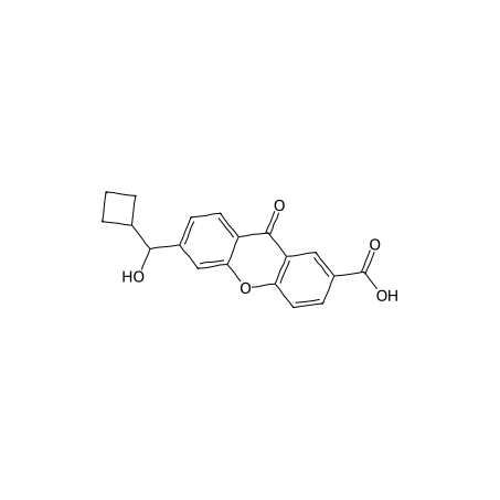 O=C(O)c1ccc2oc3cc(C(O)C4CCC4)ccc3c(=O)c2c1